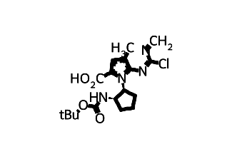 C=N/C(Cl)=N\c1c(C)cc(C(=O)O)n1[C@H]1CCC[C@@H]1NC(=O)OC(C)(C)C